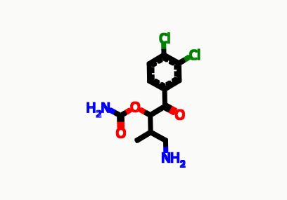 CC(CN)C(OC(N)=O)C(=O)c1ccc(Cl)c(Cl)c1